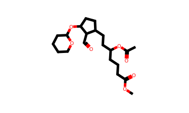 COC(=O)CCCC(CCC1CCC(OC2CCCCO2)C1C=O)OC(C)=O